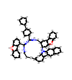 C1=N/C(c2cccc3oc4ccccc4c23)=N\C(c2ccc(-c3ccccc3)cc2)=N/Cc2cc3c(cc2-n2c4cc(ccc4c4cc5ccccc5cc42)CC\1)oc1ccccc13